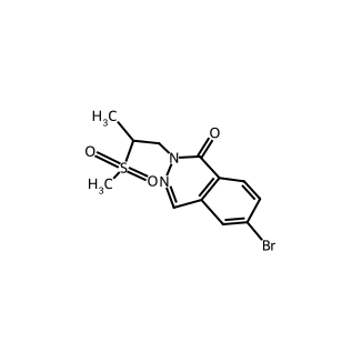 CC(Cn1ncc2cc(Br)ccc2c1=O)S(C)(=O)=O